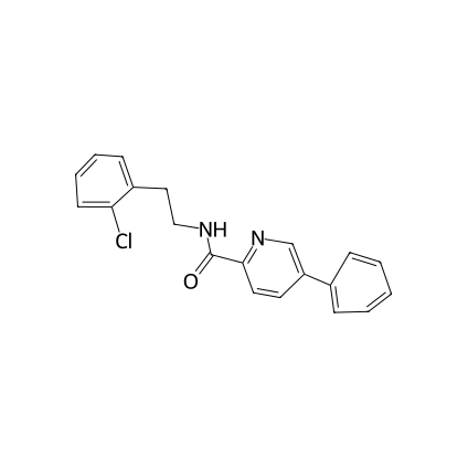 O=C(NCCc1ccccc1Cl)c1ccc(-c2ccccc2)cn1